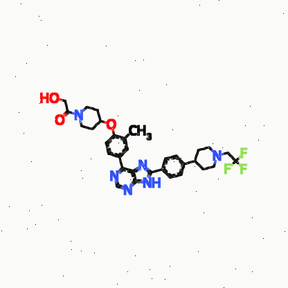 Cc1cc(-c2ncnc3[nH]c(-c4ccc(C5CCN(CC(F)(F)F)CC5)cc4)nc23)ccc1OC1CCN(C(=O)CO)CC1